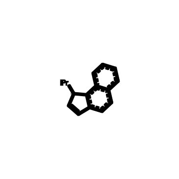 CC(C)[C]1C=Cc2ccc3ccccc3c21